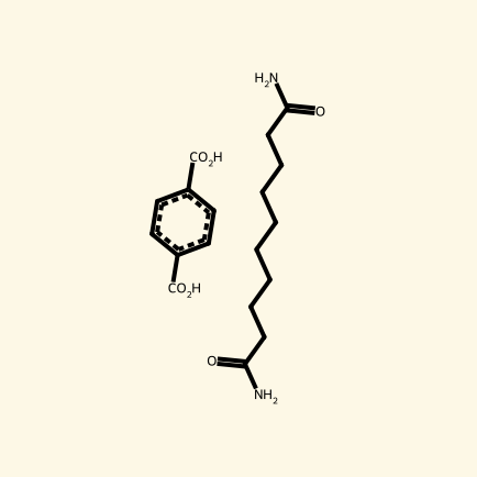 NC(=O)CCCCCCCCC(N)=O.O=C(O)c1ccc(C(=O)O)cc1